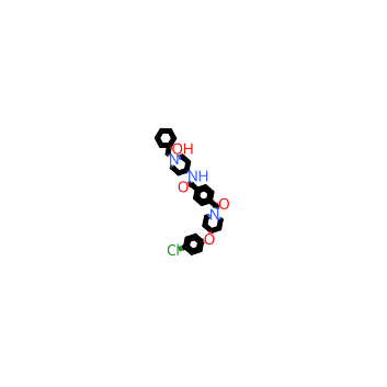 O=C(NC1CCN(CC2(O)CCCCC2)CC1)c1ccc(C(=O)N2CCC(Oc3ccc(Cl)cc3)CC2)cc1